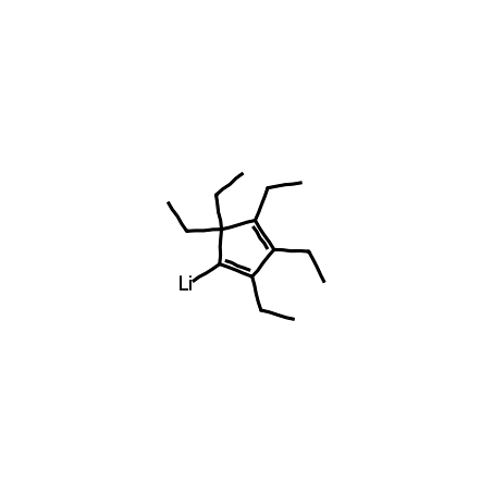 [Li][C]1=C(CC)C(CC)=C(CC)C1(CC)CC